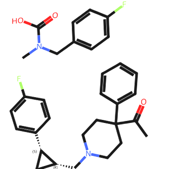 CC(=O)C1(c2ccccc2)CCN(C[C@@H]2C[C@@H]2c2ccc(F)cc2)CC1.CN(Cc1ccc(F)cc1)C(=O)O